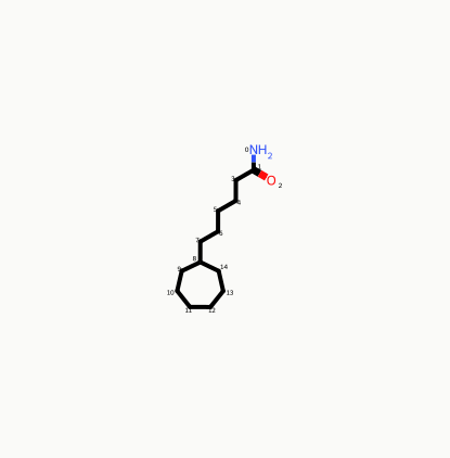 NC(=O)CCCCCC1CCCCCC1